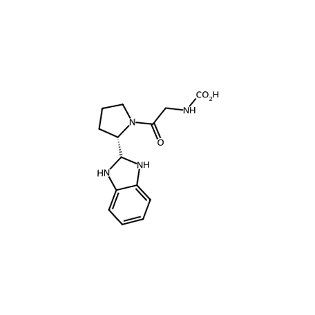 O=C(O)NCC(=O)N1CCC[C@H]1C1Nc2ccccc2N1